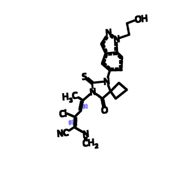 C=N/C(C#N)=C(Cl)\C=C(/C)N1C(=O)C2(CCC2)N(c2ccc3c(cnn3CCO)c2)C1=S